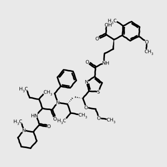 CCC(C)C(NC(=O)C1CCCCN1C)C(=O)N(Cc1ccccc1)[C@H](C[C@@H](OCOC)c1nc(C(=O)NCC[C@@H](C(=O)O)c2cc(OC)ccc2C)cs1)C(C)C